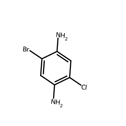 Nc1cc(Br)c(N)cc1Cl